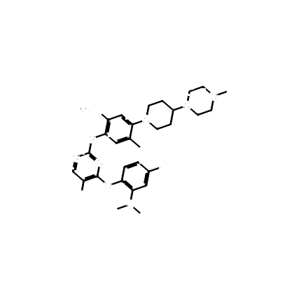 COc1cc(N2CCC(N3CCN(C)CC3)CC2)c(C)cc1Nc1ncc(Br)c(Nc2ccc(F)cc2P(C)C)n1